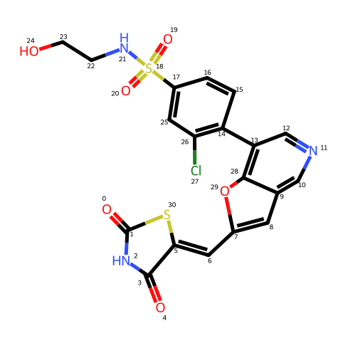 O=C1NC(=O)C(=Cc2cc3cncc(-c4ccc(S(=O)(=O)NCCO)cc4Cl)c3o2)S1